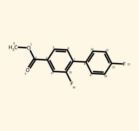 COC(=O)c1ccc(-c2ccc(F)cc2)c(F)c1